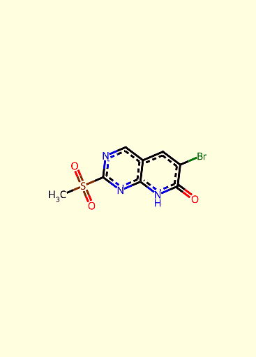 CS(=O)(=O)c1ncc2cc(Br)c(=O)[nH]c2n1